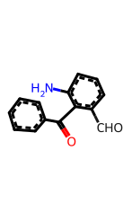 Nc1cccc(C=O)c1C(=O)c1ccccc1